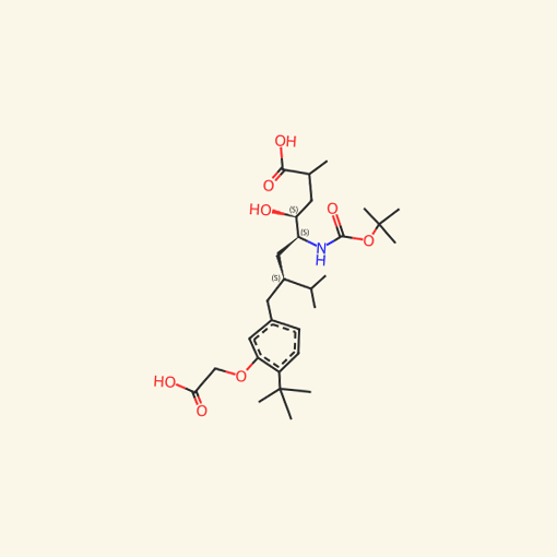 CC(C[C@H](O)[C@H](C[C@H](Cc1ccc(C(C)(C)C)c(OCC(=O)O)c1)C(C)C)NC(=O)OC(C)(C)C)C(=O)O